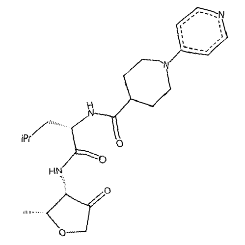 CC(C)C[C@H](NC(=O)C1CCN(c2ccncc2)CC1)C(=O)N[C@@H]1C(=O)CO[C@@H]1C